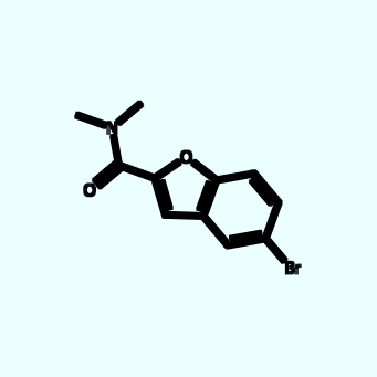 CN(C)C(=O)c1cc2cc(Br)ccc2o1